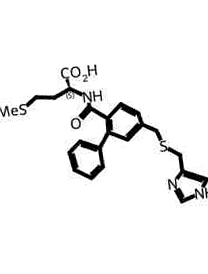 CSCC[C@H](NC(=O)c1ccc(CSCc2c[nH]cn2)cc1-c1ccccc1)C(=O)O